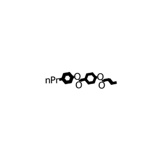 C/C=C/C(=O)OC1CCC(C(=O)Oc2ccc(CCC)cc2)CC1